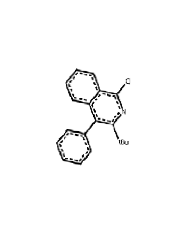 CC(C)(C)c1nc(Cl)c2ccccc2c1-c1ccccc1